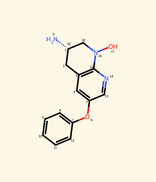 N[C@H]1Cc2cc(Oc3ccccc3)cnc2N(O)C1